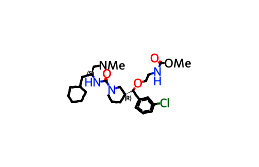 CNC[C@H](CC1CCCCC1)NC(=O)N1CCC[C@@H](C(OCCNC(=O)OC)c2cccc(Cl)c2)C1